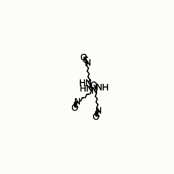 N=C(NCCCCCCN=C=O)OC(=N)N(CCCCCCN=C=O)CCCCCCN=C=O